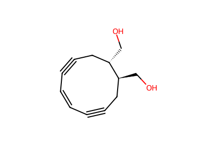 OC[C@H]1CC#C/C=C\C#CC[C@@H]1CO